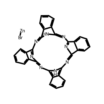 [Zn][Br].c1ccc2c(c1)-c1nc-2nc2[nH]c(nc3nc(nc4[nH]c(n1)c1ccccc41)-c1ccccc1-3)c1ccccc21